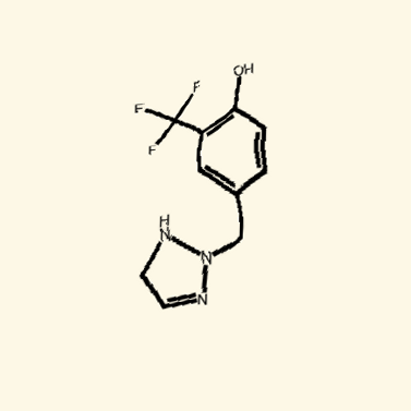 Oc1ccc(CN2N=CCN2)cc1C(F)(F)F